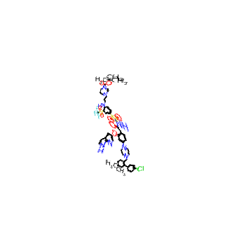 CC1(C)CCC(CN2CCN(c3ccc(C(=O)NS(=O)(=O)c4ccc(NCCCN5CCCN(C(=O)OC(C)(C)C)CC5)c(S(=O)(=O)C(F)(F)F)c4)c(Oc4cnc5[nH]ccc5c4)c3)CC2)=C(c2ccc(Cl)cc2)C1